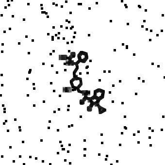 Cl.O=C(O)NC(CCN1CCC(CNC(=O)n2c(=O)n(C3CC3)c3ccccc32)CC1)c1ccccc1